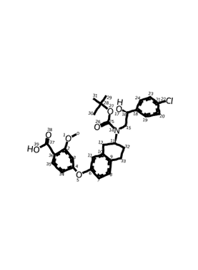 COc1cc(Oc2ccc3c(c2)C[C@@H](N(C[C@@H](O)c2ccc(Cl)cc2)C(=O)OC(C)(C)C)CC3)ccc1C(=O)O